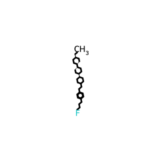 CCC[C@H]1CC[C@H]([C@H]2CC[C@H](C3CCC(CCc4ccc(CCCCF)cc4)CC3)CC2)CC1